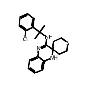 CC(C)(NC1=Nc2ccccc2NC12CCSCC2)c1ccccc1Cl